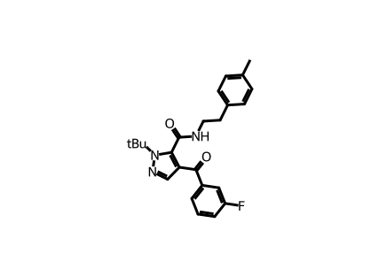 Cc1ccc(CCNC(=O)c2c(C(=O)c3cccc(F)c3)cnn2C(C)(C)C)cc1